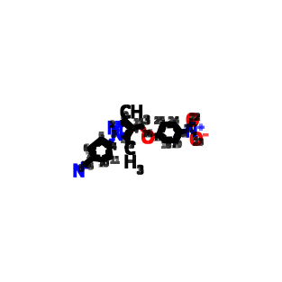 Cc1nn(-c2ccc(C#N)cc2)c(C)c1COc1ccc([N+](=O)[O-])cc1